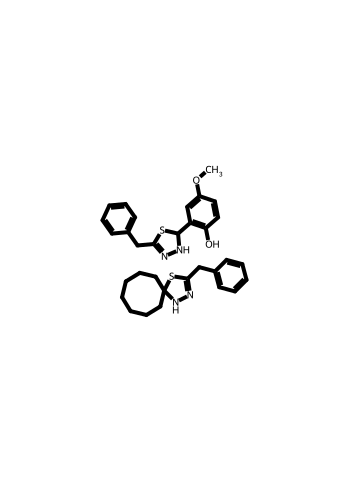 COc1ccc(O)c(C2NN=C(Cc3ccccc3)S2)c1.c1ccc(CC2=NNC3(CCCCCCC3)S2)cc1